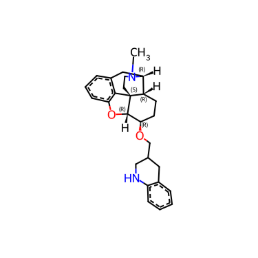 CN1CC[C@]23c4c5cccc4O[C@H]2[C@H](OCC2CNc4ccccc4C2)CC[C@H]3[C@H]1C5